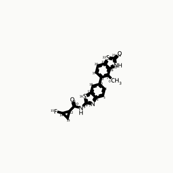 Cc1c(-c2ccc3nc(NC(=O)C4CC4F)sc3c2)ccc2sc(=O)[nH]c12